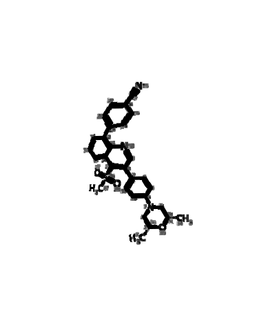 C[C@@H]1CN(c2ccc(-c3cnc4c(-c5ccc(C#N)cc5)cccc4c3S(C)(=O)=O)cc2)C[C@H](C)O1